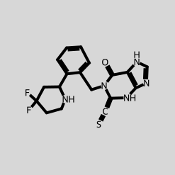 O=C1c2[nH]cnc2NC(=C=S)N1Cc1ccccc1C1CC(F)(F)CCN1